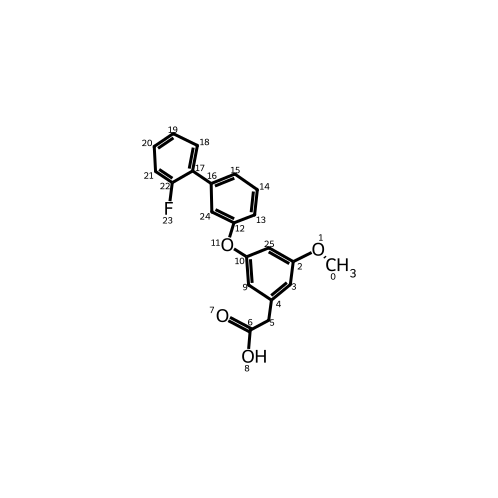 COc1cc(CC(=O)O)cc(Oc2cccc(-c3ccccc3F)c2)c1